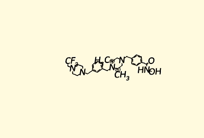 C[C@@H]1CN(Cc2ccc(C(=O)NO)cc2)C[C@H](C)N1Cc1cccc(CN2CCN(CC(F)(F)F)CC2)c1